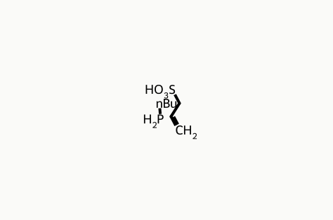 C=CCS(=O)(=O)O.CCCCP